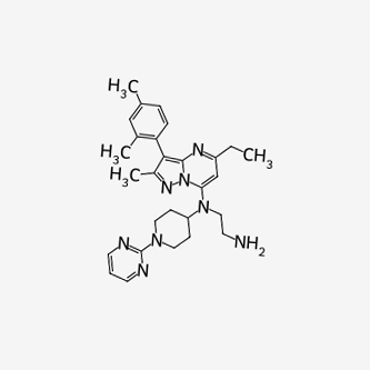 CCc1cc(N(CCN)C2CCN(c3ncccn3)CC2)n2nc(C)c(-c3ccc(C)cc3C)c2n1